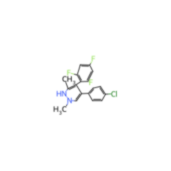 CC1=C(c2c(F)cc(F)cc2F)C(c2ccc(Cl)cc2)=CN(C)N1